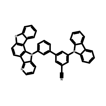 N#Cc1cc(-c2cccc(-n3c4cccnc4c4ccc5oc6ccccc6c5c43)c2)cc(-n2c3ccccc3c3ccccc32)c1